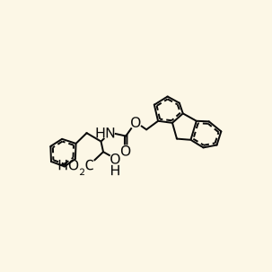 O=C(NC(Cc1ccccc1)C(O)C(=O)O)OCc1cccc2c1Cc1ccccc1-2